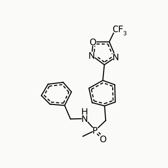 CP(=O)(Cc1ccc(-c2noc(C(F)(F)F)n2)cc1)NCc1ccccc1